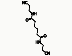 N#CCCNC(=O)CCCCC(=O)NCCC#N